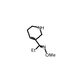 CCC(=NOC)C1=CCCNC1